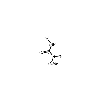 CNN(C)C(=O)NC(C)C